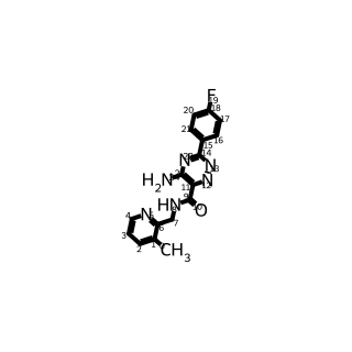 Cc1cccnc1CNC(=O)c1nnc(-c2ccc(F)cc2)nc1N